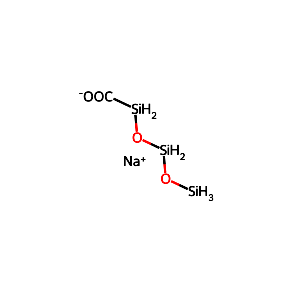 O=C([O-])[SiH2]O[SiH2]O[SiH3].[Na+]